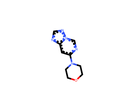 c1nc2cc(N3CCOCC3)ncn2n1